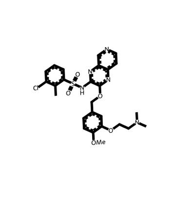 COc1ccc(COc2nc3ccncc3nc2NS(=O)(=O)c2cccc(Cl)c2C)cc1OCCN(C)C